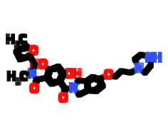 Cc1ccc(CN(C)C(=O)c2cc(C(=O)N3Cc4ccc(OCCCN5CCNCC5)cc4C3)c(O)cc2O)o1